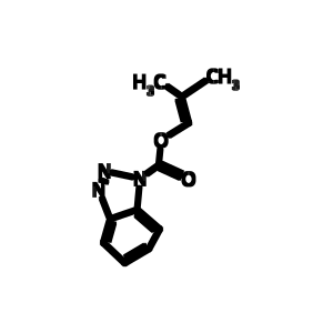 CC(C)=COC(=O)n1nnc2ccccc21